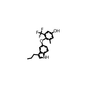 CCCc1c[nH]c2ccc(Oc3c(C)cc(O)cc3C(F)(F)F)cc12